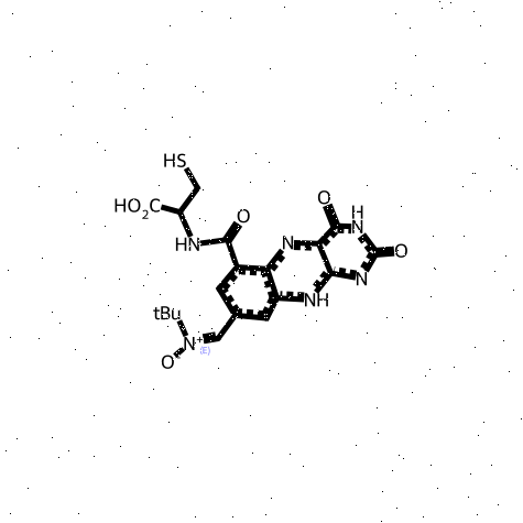 CC(C)(C)/[N+]([O-])=C\c1cc(C(=O)NC(CS)C(=O)O)c2nc3c(=O)[nH]c(=O)nc-3[nH]c2c1